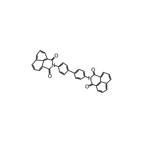 O=C1c2cccc3cccc(c23)C(=O)N1c1ccc(-c2ccc(N3C(=O)c4cccc5cccc(c45)C3=O)cc2)cc1